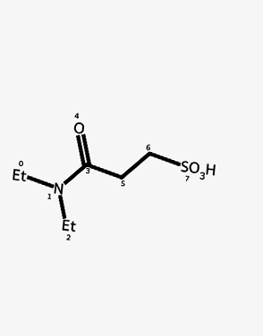 CCN(CC)C(=O)CCS(=O)(=O)O